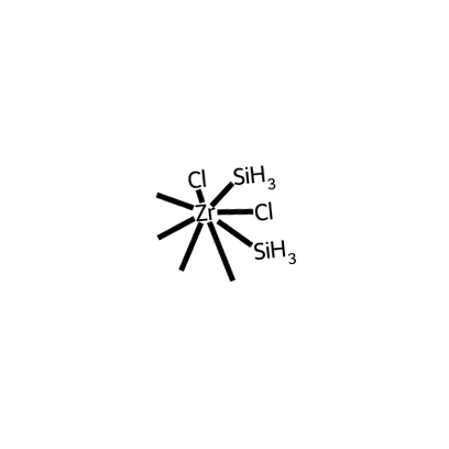 [CH3][Zr]([CH3])([CH3])([CH3])([SiH3])([SiH3])([Cl])[Cl]